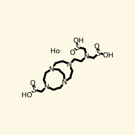 O=S(O)CN1CCN2CCN(CCN(CCN(CS(=O)O)CS(=O)O)CC2)CC1.[Ho]